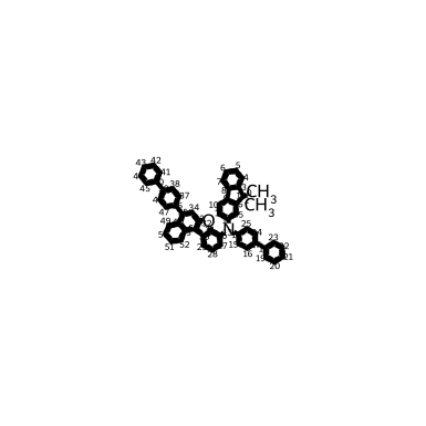 CC1(C)c2ccccc2-c2ccc(N(c3ccc(-c4ccccc4)cc3)c3cccc4c3oc3cc(-c5ccc(-c6ccccc6)cc5)c5ccccc5c34)cc21